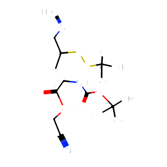 C=NCC(C[C@H](NC(=O)OC(C)(C)C)C(=O)OCC#N)SSC(C)(C)C